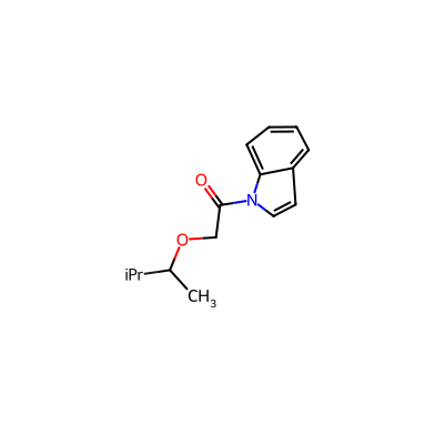 CC(C)C(C)OCC(=O)n1ccc2ccccc21